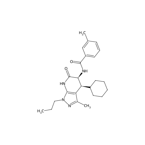 CCCn1nc(C)c2c1NC(=O)[C@@H](NC(=O)c1cccc(C)c1)[C@H]2C1CCCCC1